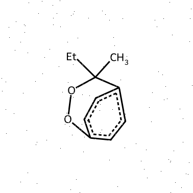 [CH2]CC1(C)OOc2ccc1cc2